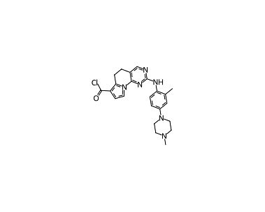 Cc1cc(N2CCN(C)CC2)ccc1Nc1ncc2c(n1)-n1ccc(C(=O)Cl)c1CC2